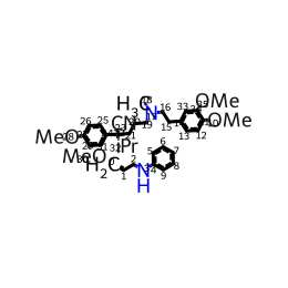 C=CCNc1ccccc1.COc1ccc(CCN(C)CCCC(C#N)(c2ccc(OC)c(OC)c2)C(C)C)cc1OC